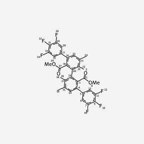 COC(=O)c1c(-c2cc(F)c(F)c(F)c2)cc(C)c(C)c1-c1c(C)c(C)cc(-c2cc(F)c(F)c(F)c2)c1C(=O)OC